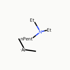 CCCCCN(CC)CC.[CH3][Al][CH3]